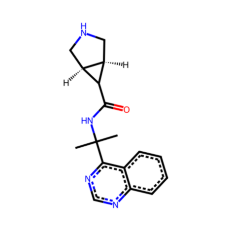 CC(C)(NC(=O)C1[C@H]2CNC[C@@H]12)c1ncnc2ccccc12